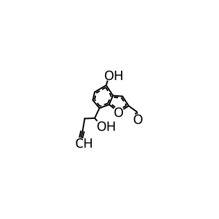 C#CCC(O)c1ccc(O)c2cc(C=O)oc12